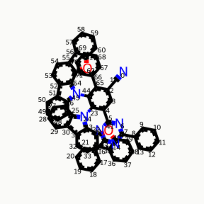 N#Cc1cc(-c2nc(-c3ccccc3)nc(-c3ccccc3)n2)c(-n2c3ccccc3c3ccc4c5ccccc5oc4c32)c(-n2c3ccccc3c3ccc4c5ccccc5oc4c32)c1-c1ccccc1